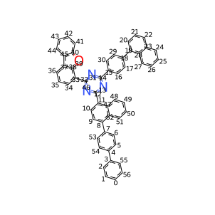 c1ccc(-c2ccc(-c3ccc(-c4nc(-c5ccc(-c6cccc7ccccc67)cc5)nc(-c5cccc6c5oc5ccccc56)n4)c4ccccc34)cc2)cc1